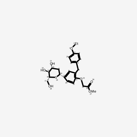 CCOc1ccc(Cc2cc([C@H]3C[C@@H](O)[C@H](O)[C@@H](CO)S3)ccc2OCC(=O)OC)cc1